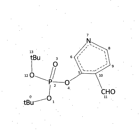 CC(C)(C)OP(=O)(Oc1cnccc1C=O)OC(C)(C)C